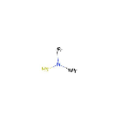 CCCN(S)C(C)C